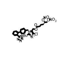 CCCCc1nc(Cl)c(COC(=O)CCC[C@H](CO[N+](=O)[O-])O[N+](=O)[O-])n1Cc1ccc(-c2ccccc2-c2nn[n-]n2)cc1.[K+]